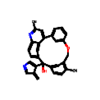 C=C1C=NC=C1C1(O)c2ccc(C#N)c(c2)COc2cccc(c2)-c2cc(C#N)nc3ccc1cc23